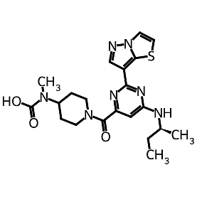 CC[C@H](C)Nc1cc(C(=O)N2CCC(N(C)C(=O)O)CC2)nc(-c2cnn3ccsc23)n1